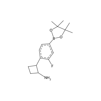 CC1(C)OB(c2ccc(C3CCC3N)c(F)c2)OC1(C)C